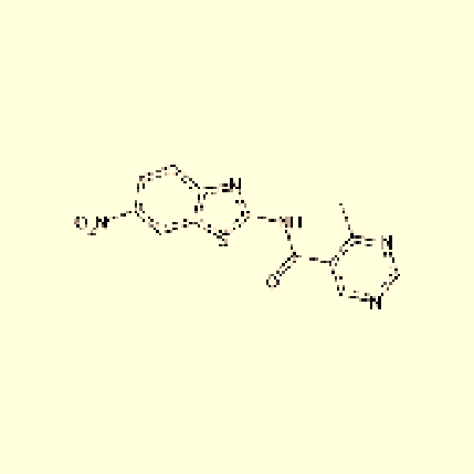 Cc1ncncc1C(=O)Nc1nc2ccc([N+](=O)[O-])cc2s1